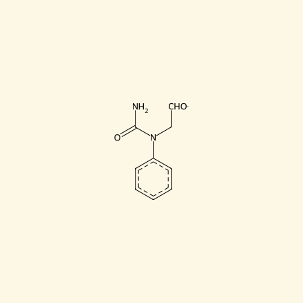 NC(=O)N(C[C]=O)c1ccccc1